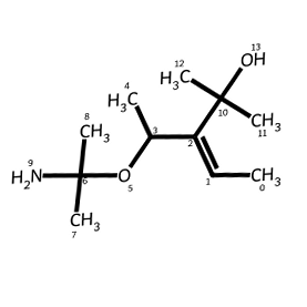 CC=C(C(C)OC(C)(C)N)C(C)(C)O